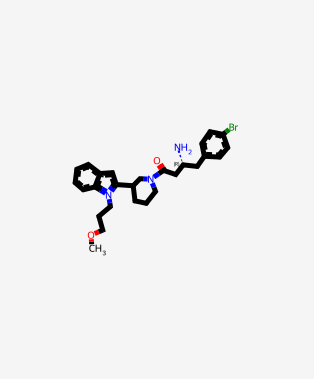 COCCCn1c(C2CCCN(C(=O)C[C@H](N)Cc3ccc(Br)cc3)C2)cc2ccccc21